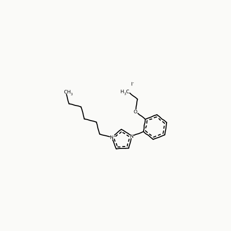 CCCCCC[n+]1ccn(-c2ccccc2OCC)c1.[I-]